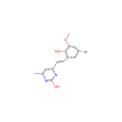 COc1cc(Br)cc(C=Cc2cc(C)nc(O)n2)c1O